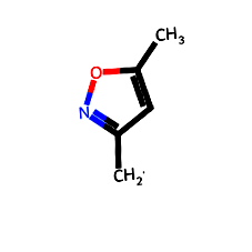 [CH2]c1cc(C)on1